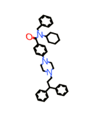 O=C(c1ccc(N2CCN(CCC(c3ccccc3)c3ccccc3)CC2)cc1)N(Cc1ccccc1)C1CCCCC1